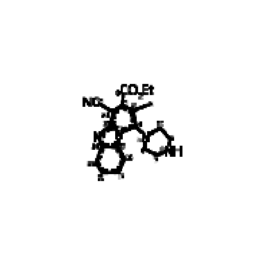 CCOC(=O)c1c(C)c(N2CCNCC2)n2c(nc3ccccc32)c1C#N